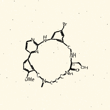 COc1ccc2cc1CN(C)CCCNC(=O)[C@H](CO)NCc1cc(Br)cc(c1)Nc1nccc-2n1